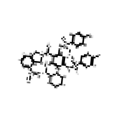 Cc1ccc(S(=O)(=O)Oc2cc(OS(=O)(=O)c3ccc(C)cc3)c(C(=O)N3Cc4cccc([N+](=O)[O-])c4C3)c(OCC3CCCCC3)c2C)cc1